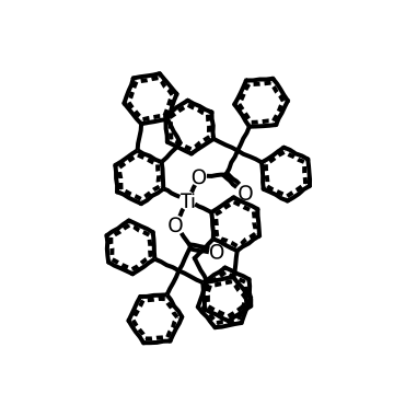 O=C([O][Ti]([O]C(=O)C(c1ccccc1)(c1ccccc1)c1ccccc1)([c]1cccc2c1Cc1ccccc1-2)[c]1cccc2c1Cc1ccccc1-2)C(c1ccccc1)(c1ccccc1)c1ccccc1